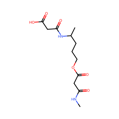 CNC(=O)CC(=O)OCCCC(C)NC(=O)CC(=O)O